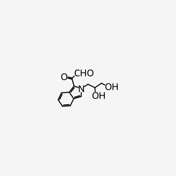 O=CC(=O)c1c2ccccc2cn1CC(O)CO